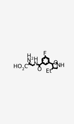 CCC1CNOC1c1cc(F)cc(C(=O)NC[C@@H](N)C(=O)O)c1